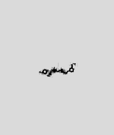 CNC(=O)c1cccc(-c2ccc(S(=O)(=O)NCc3cn([C@@H](Cc4ccc(OC)cc4)C(=O)OC)nn3)s2)c1